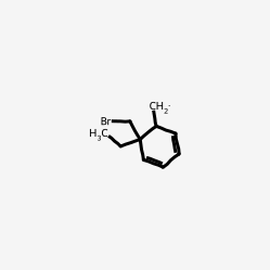 [CH2]C1C=CC=CC1(CC)CBr